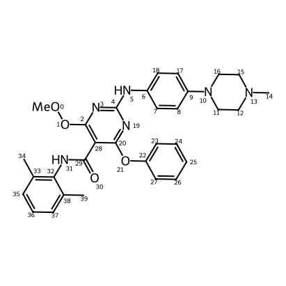 COOc1nc(Nc2ccc(N3CCN(C)CC3)cc2)nc(Oc2ccccc2)c1C(=O)Nc1c(C)cccc1C